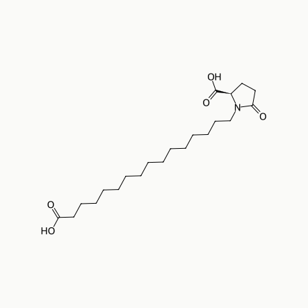 O=C(O)CCCCCCCCCCCCCCCN1C(=O)CC[C@@H]1C(=O)O